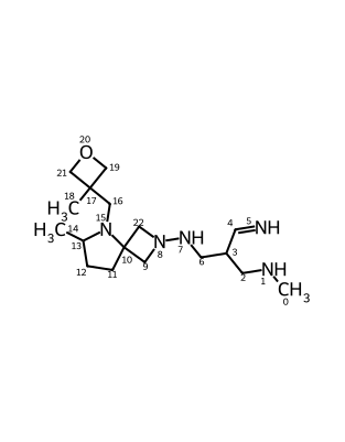 CNCC(C=N)CNN1CC2(CCC(C)N2CC2(C)COC2)C1